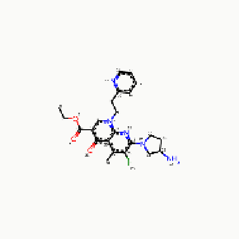 CCOC(=O)c1cn(CCc2ccccn2)c2nc(N3CCC(N)C3)c(F)c(C)c2c1=O